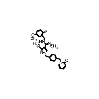 C=Nc1nn(Cc2ccc(Cn3ccccc3=O)cc2)cc1/C(=N\C)NCc1cc(OC(F)(F)F)ccc1F